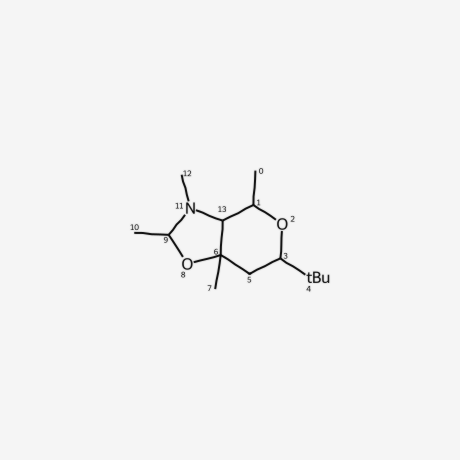 CC1OC(C(C)(C)C)CC2(C)OC(C)N(C)C12